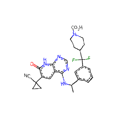 CC(Nc1ncnc2[nH]c(=O)c(C3(C#N)CC3)cc12)c1cccc(C(F)(F)C2CCN(C(=O)O)CC2)c1